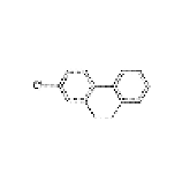 Clc1ccc2c(c1)CCc1ccccc1-2